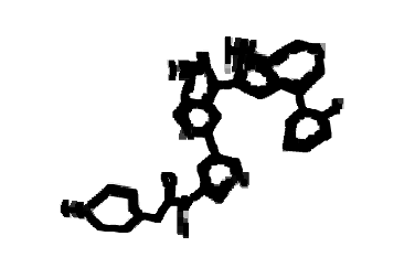 O=C(CC1CCNCC1)Nc1cncc(-c2cc3c(-c4cc5c(-c6ccccc6F)cncc5[nH]4)n[nH]c3cn2)c1